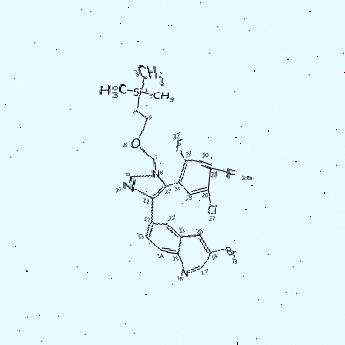 C[Si](C)(C)CCOCn1cnc(-c2ccc3ncc(Br)cc3c2)c1-c1cc(Cl)c(F)cc1F